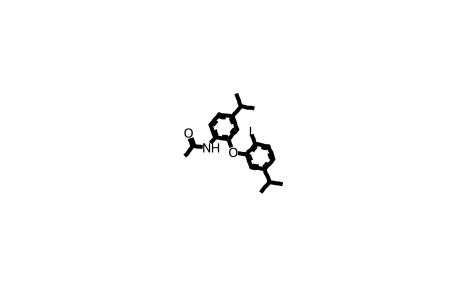 CC(=O)Nc1ccc(C(C)C)cc1Oc1cc(C(C)C)ccc1I